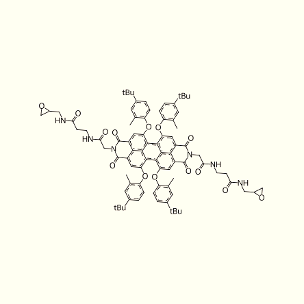 Cc1cc(C(C)(C)C)ccc1Oc1cc2c3c(cc(Oc4ccc(C(C)(C)C)cc4C)c4c5c(Oc6ccc(C(C)(C)C)cc6C)cc6c7c(cc(Oc8ccc(C(C)(C)C)cc8C)c(c1c34)c75)C(=O)N(CC(=O)NCCC(=O)NCC1CO1)C6=O)C(=O)N(CC(=O)NCCC(=O)NCC1CO1)C2=O